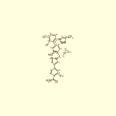 NC(=O)c1ccc(-c2cnn([C@@H](CC3CC3)c3ccc(-c4c(-n5cc(C(F)(F)F)nn5)ccc(Cl)c4F)c[n+]3O)c2)cc1F